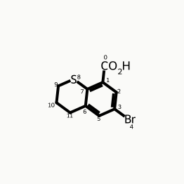 O=C(O)c1cc(Br)cc2c1SCCC2